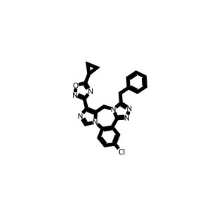 Clc1ccc2c(c1)-c1nnc(Cc3ccccc3)n1Cc1c(-c3noc(C4CC4)n3)ncn1-2